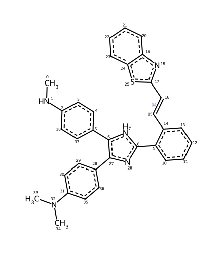 CNc1ccc(-c2[nH]c(-c3ccccc3/C=C/c3nc4ccccc4s3)nc2-c2ccc(N(C)C)cc2)cc1